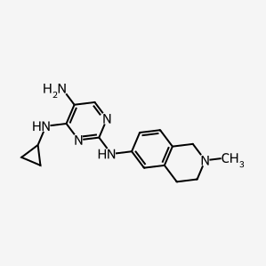 CN1CCc2cc(Nc3ncc(N)c(NC4CC4)n3)ccc2C1